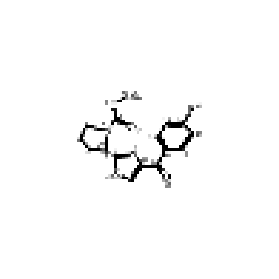 CC(C)(C)OC(=O)N1CCC[C@H]1c1nc(C(=O)c2ccc(F)cc2)cs1